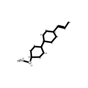 CC=CC1CCC(C2CCC(OCCC)CC2)CC1